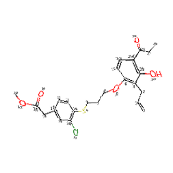 C=CCc1c(OCCCSc2ccc(CC(=O)OC)cc2Cl)ccc(C(=O)CC)c1O